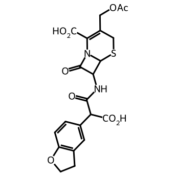 CC(=O)OCC1=C(C(=O)O)N2C(=O)C(NC(=O)C(C(=O)O)c3ccc4c(c3)CCO4)C2SC1